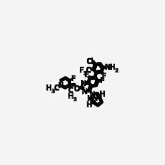 CN1CC[C@@H](F)[C@](C)(COc2nc(N3C[C@H]4CC[C@@H](C3)N4)c3cc(F)c(-c4c(F)c(N)cc(Cl)c4C(F)(F)F)c(F)c3n2)C1